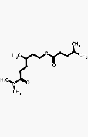 CC(C)CCC(=O)OCCC(C)CCC(=O)N(C)C